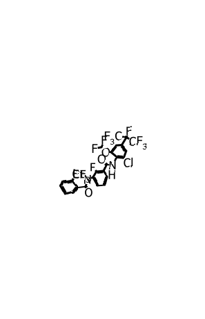 CCN(C(=O)c1ccccc1C(F)(F)F)c1cccc(C(=O)Nc2c(Cl)cc(C(F)(C(F)(F)F)C(F)(F)F)cc2OC(F)F)c1F